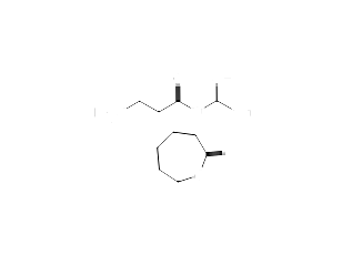 CCCC(O)OC(=O)CCC(=O)O.O=C1CCCCCO1